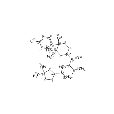 CC(C)C(NC(=O)[C@@H]1CCC(C)(O)C1)C(=O)N1CCC(O)(c2ccc(Cl)cc2)C(C)(C)C1